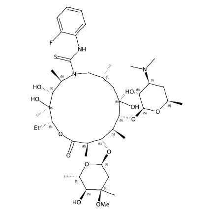 CC[C@H]1OC(=O)[C@H](C)[C@@H](O[C@H]2C[C@@](C)(OC)[C@@H](O)[C@H](C)O2)[C@H](C)[C@@H](O[C@@H]2O[C@H](C)C[C@H](N(C)C)[C@H]2O)[C@](C)(O)C[C@@H](C)CN(C(=S)Nc2ccccc2F)[C@H](C)[C@@H](O)[C@]1(C)O